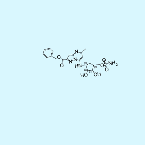 Cc1cc(N[C@@H]2C[C@H](COS(N)(=O)=O)[C@@H](O)[C@H]2O)n2nc(C(=O)OCc3ccccc3)cc2n1